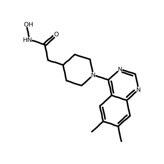 Cc1cc2ncnc(N3CCC(CC(=O)NO)CC3)c2cc1C